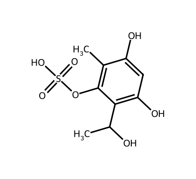 Cc1c(O)cc(O)c(C(C)O)c1OS(=O)(=O)O